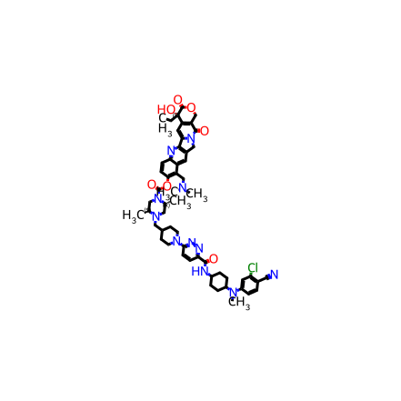 CC[C@@]1(O)C(=O)OCc2c1cc1n(c2=O)Cc2cc3c(CN(C)C)c(OC(=O)N4C[C@H](C)N(CC5CCN(c6ccc(C(=O)NC7CCC(N(C)c8ccc(C#N)c(Cl)c8)CC7)nn6)CC5)C[C@H]4C)ccc3nc2-1